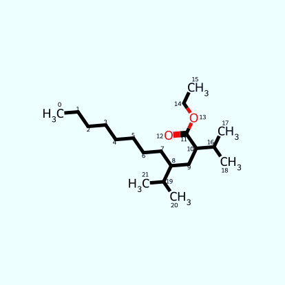 CCCCCCCCC(CC(C(=O)OCC)C(C)C)C(C)C